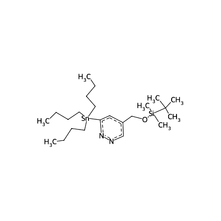 CCC[CH2][Sn]([CH2]CCC)([CH2]CCC)[c]1cc(CO[Si](C)(C)C(C)(C)C)cnn1